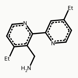 CCc1ccnc(-c2nccc(CC)c2CN)c1